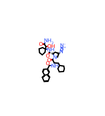 [N-]=[N+]=N[C@H]1C[C@@H](C(=O)NC2(C(O)C(N)=O)CCCCC2)N(C(=O)C(CC2CCCCC2)NC(=O)c2ccc3ccccc3c2)C1